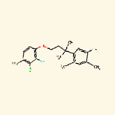 Cc1cc(C)c(C(C)(C)CCOc2ccc(C(C)(C)C)c(Cl)c2F)cc1C